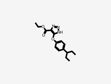 CCOC(=O)c1nn[nH]c1Oc1ccc(C(CC)CC)cc1